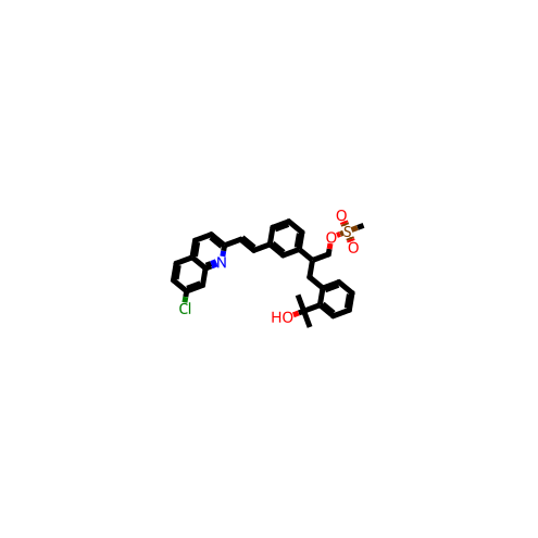 CC(C)(O)c1ccccc1CC(COS(C)(=O)=O)c1cccc(C=Cc2ccc3ccc(Cl)cc3n2)c1